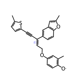 Cc1cc2cc(/C(C#Cc3ccc(C)s3)=C\COc3ccc([O])c(C)c3)ccc2o1